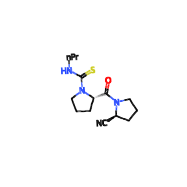 CCCNC(=S)N1CCC[C@H]1C(=O)N1CCC[C@H]1C#N